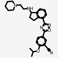 CC(C)Oc1ccc(-c2nc(-c3cccc4c3CCC4NCCN3CCCCC3)no2)cc1C#N